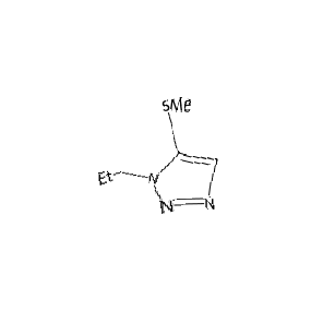 CCn1nncc1SC